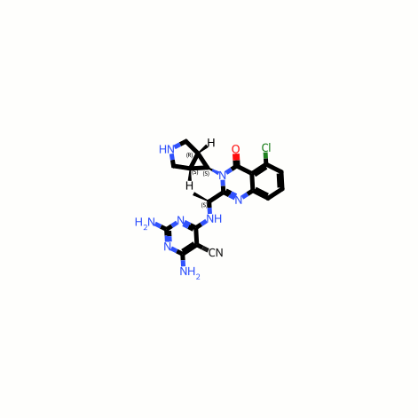 C[C@H](Nc1nc(N)nc(N)c1C#N)c1nc2cccc(Cl)c2c(=O)n1[C@H]1[C@@H]2CNC[C@@H]21